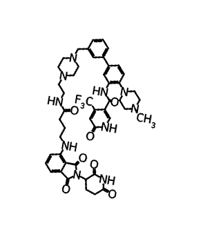 CN1CCN(c2ccc(-c3cccc(CN4CCN(CCNC(=O)CCCNc5cccc6c5C(=O)N(C5CCC(=O)NC5=O)C6=O)CC4)c3)cc2NC(=O)c2c[nH]c(=O)cc2C(F)(F)F)CC1